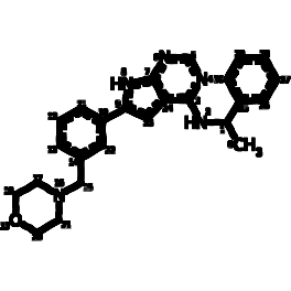 CC(Nc1ncnc2[nH]c(-c3cccc(CN4CCOCC4)c3)cc12)c1ccccc1